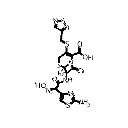 Nc1nc(/C(=N/O)C(=O)N[C@@H]2C(=O)N3C(C(=O)O)=C(SCc4cnsn4)CS[C@H]23)cs1